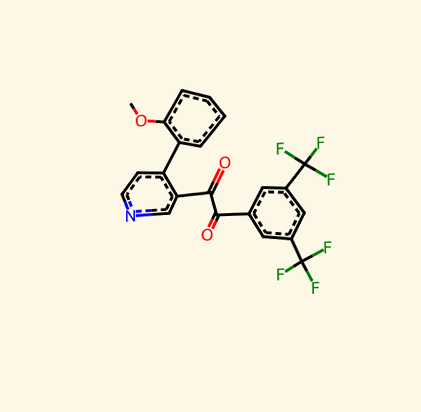 COc1ccccc1-c1ccncc1C(=O)C(=O)c1cc(C(F)(F)F)cc(C(F)(F)F)c1